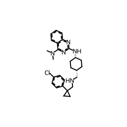 CN(C)c1nc(N[C@H]2CC[C@@H](CNCC3(c4ccc(Cl)cc4)CC3)CC2)nc2ccccc12